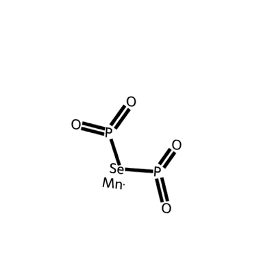 O=P(=O)[Se]P(=O)=O.[Mn]